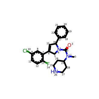 CN(C(=O)N1CC(c2cc(Cl)ccc2F)=CC1c1ccccc1)C1CCNCC1